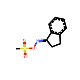 CS(=O)(=O)O/N=C1\CCc2ccccc21